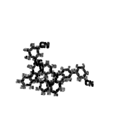 N#Cc1cccc(-c2ccc3c(c2)c2ccccc2n3-c2ccc(C#N)cc2-c2ncccc2-n2c3ccccc3c3cc(-c4cccc(C#N)c4)ccc32)c1